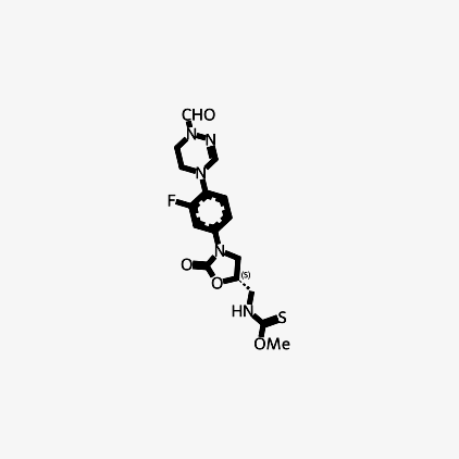 COC(=S)NC[C@H]1CN(c2ccc(N3C=NN(C=O)CC3)c(F)c2)C(=O)O1